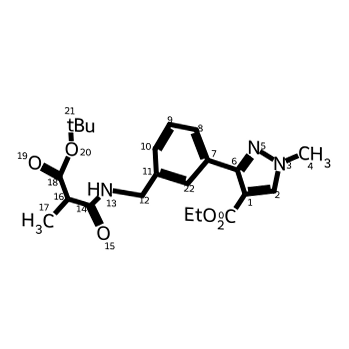 CCOC(=O)c1cn(C)nc1-c1cccc(CNC(=O)C(C)C(=O)OC(C)(C)C)c1